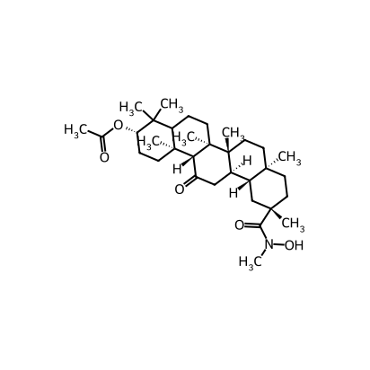 CC(=O)O[C@H]1CC[C@@]2(C)C(CC[C@]3(C)[C@@H]2C(=O)C[C@@H]2[C@H]4C[C@@](C)(C(=O)N(C)O)CC[C@]4(C)CC[C@]23C)C1(C)C